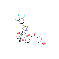 CC1(C)OC[C@H]2O[C@@]3(CCCO3)[C@H](OCC(=O)N3CCC(O)CC3)[C@@H](n3cc(-c4cc(F)c(F)c(F)c4)nn3)[C@H]2O1